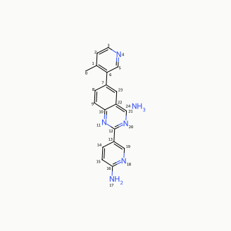 Cc1ccncc1-c1ccc2nc(-c3ccc(N)nc3)ncc2c1.N